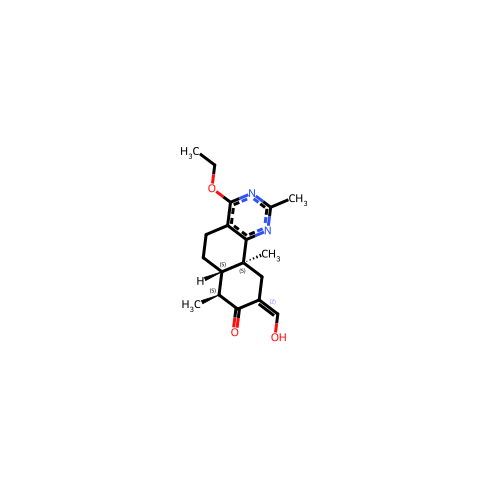 CCOc1nc(C)nc2c1CC[C@H]1[C@H](C)C(=O)/C(=C\O)C[C@]21C